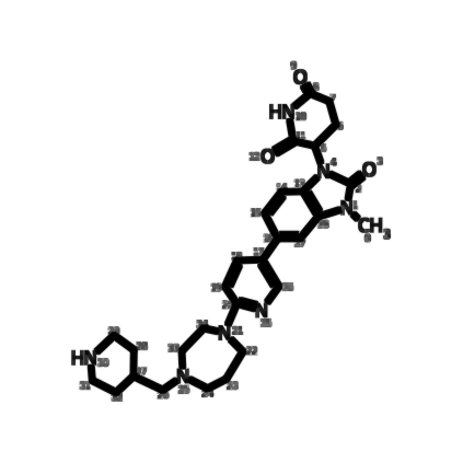 Cn1c(=O)n(C2CCC(=O)NC2=O)c2ccc(-c3ccc(N4CCCN(CC5CCNCC5)CC4)nc3)cc21